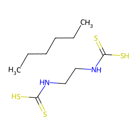 CCCCCC.S=C(S)NCCNC(=S)S